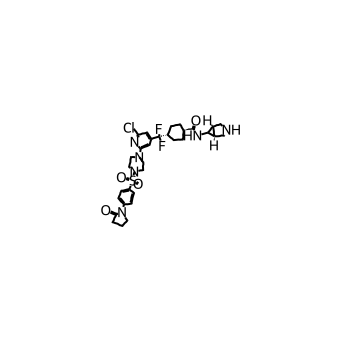 O=C1CCCN1c1ccc(S(=O)(=O)N2CCN(c3cc(C(F)(F)[C@H]4CC[C@H](C(=O)NC5[C@H]6CNC[C@@H]56)CC4)cc(Cl)n3)CC2)cc1